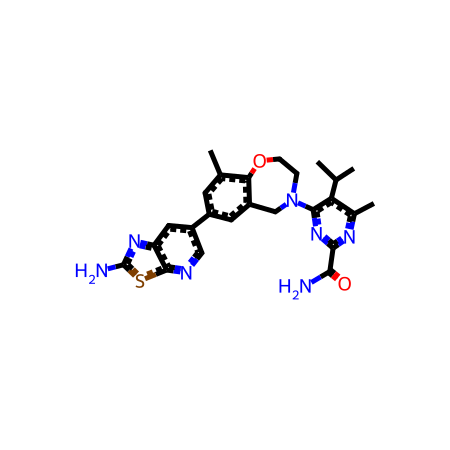 Cc1cc(-c2cnc3sc(N)nc3c2)cc2c1OCCN(c1nc(C(N)=O)nc(C)c1C(C)C)C2